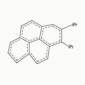 CC(C)c1cc2ccc3cccc4ccc(c1C(C)C)c2c34